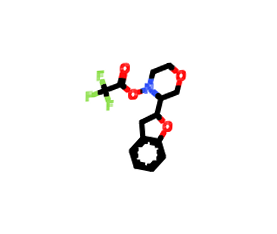 O=C(ON1CCOCC1C1Cc2ccccc2O1)C(F)(F)F